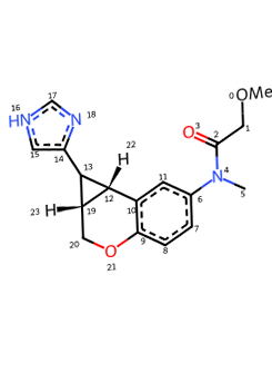 COCC(=O)N(C)c1ccc2c(c1)[C@H]1C(c3c[nH]cn3)[C@H]1CO2